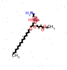 CCCCCCCCCCCCCCCCOCC(COP(=O)(O)OCCN)OCCCC(=O)OCC